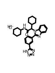 O=C(NC1CCCCC1)C(C1CCCCC1)n1c(-c2cccc(-c3nnn[nH]3)c2)nc2ccccc21.[Cl-].[H+]